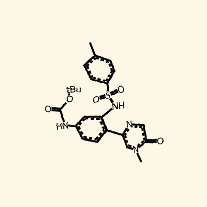 Cc1ccc(S(=O)(=O)Nc2cc(NC(=O)OC(C)(C)C)ccc2-c2cn(C)c(=O)cn2)cc1